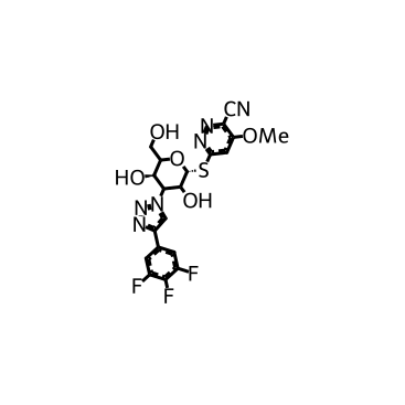 COc1cc(S[C@H]2OC(CO)[C@H](O)C(n3cc(-c4cc(F)c(F)c(F)c4)nn3)C2O)nnc1C#N